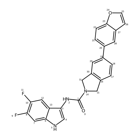 O=C(Nc1c[nH]c2cc(F)c(F)cc12)N1Cc2ccc(-c3ccc4occc4c3)cc2C1